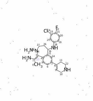 C/C(N)=C1\c2ccc(C3=CCNCC3)cc2C(Nc2ccc(F)c(Cl)c2)CCN1N